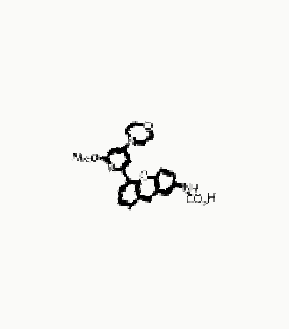 COc1cc(N2CCOCC2)cc(-c2cccc3c2Oc2ccc(NC(=O)O)cc2C3)n1